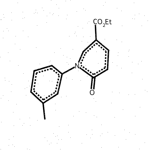 CCOC(=O)c1ccc(=O)n(-c2cccc(C)c2)c1